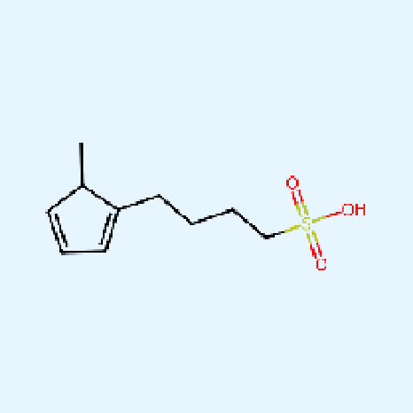 CC1C=CC=C1CCCCS(=O)(=O)O